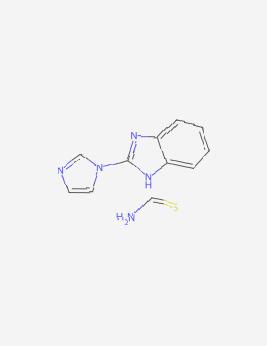 NC=S.c1ccc2[nH]c(-n3ccnc3)nc2c1